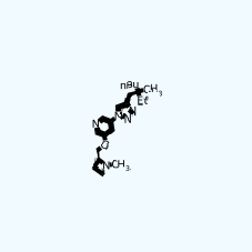 CCCCC(C)(CC)Cc1cn(-c2cncc(OC[C@@H]3CCN3C)c2)nn1